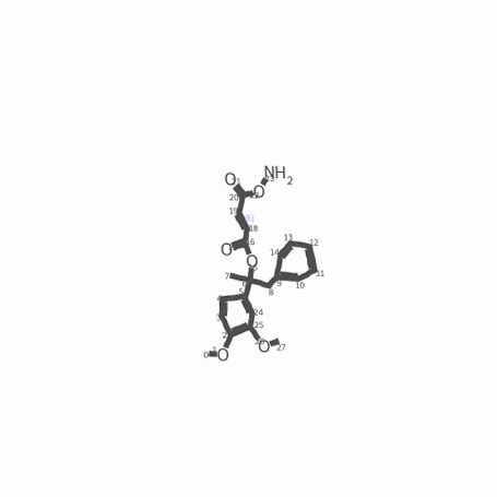 COc1ccc(C(C)(Cc2ccccc2)OC(=O)/C=C/C(=O)ON)cc1OC